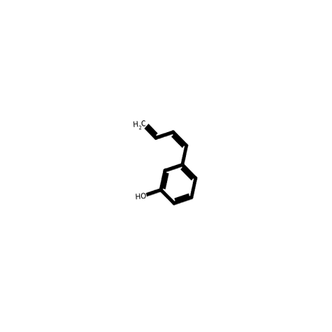 C=C/C=C\c1cccc(O)c1